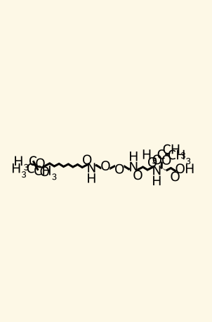 CC(C)(C)OC(=O)CCCCCCCCC(=O)NCCOCCOCCNC(=O)CCC(=O)N[C@@H](CCC(=O)O)C(=O)OC(C)(C)C